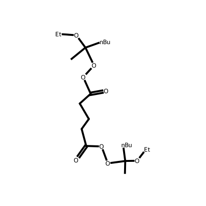 CCCCC(C)(OCC)OOC(=O)CCCC(=O)OOC(C)(CCCC)OCC